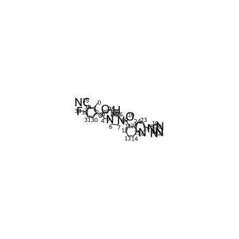 Cc1c([C@H]2CN3CCN(C(=O)C4CCCc5nc(-n6cnnn6)ccc54)C[C@H]3CO2)ccc(F)c1C#N